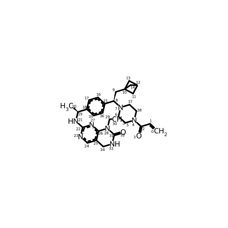 C=CC(=O)N1CCN([C@H](CC23CC(C2)C3)c2ccc([C@H](C)Nc3ncc4c(n3)N(CC)C(=O)NC4)cc2)CC1